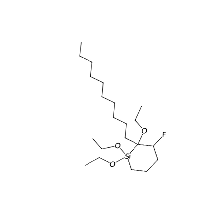 CCCCCCCCCCC1(OCC)C(F)CCC[Si]1(OCC)OCC